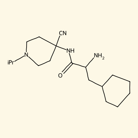 CC(C)N1CCC(C#N)(NC(=O)C(N)CC2CCCCC2)CC1